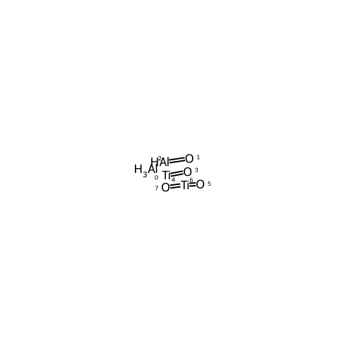 [AlH3].[O]=[AlH].[O]=[Ti].[O]=[Ti]=[O]